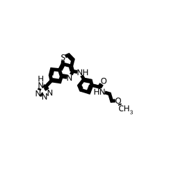 COCCNC(=O)c1cccc(Nc2nc3cc(-c4nnn[nH]4)ccc3c3sccc23)c1